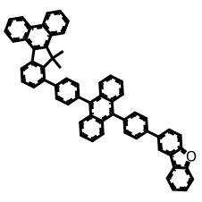 CC1(C)c2c(-c3ccc(-c4c5ccccc5c(-c5ccc(-c6ccc7oc8ccccc8c7c6)cc5)c5ccccc45)cc3)cccc2-c2c1c1ccccc1c1ccccc21